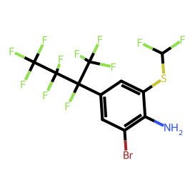 Nc1c(Br)cc(C(F)(C(F)(F)F)C(F)(F)C(F)(F)F)cc1SC(F)F